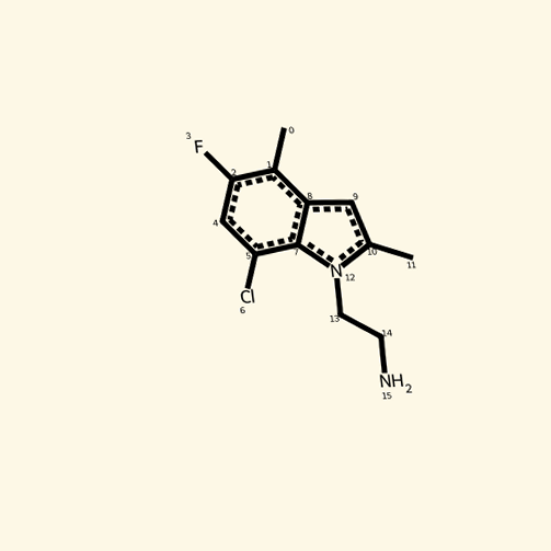 Cc1c(F)cc(Cl)c2c1cc(C)n2CCN